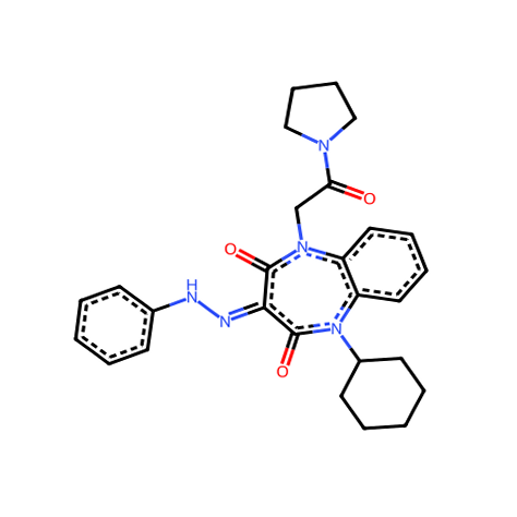 O=C(Cn1c(=O)c(=NNc2ccccc2)c(=O)n(C2CCCCC2)c2ccccc21)N1CCCC1